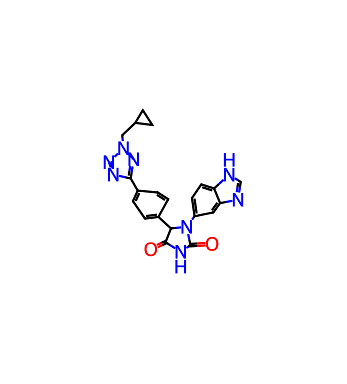 O=C1NC(=O)N(c2ccc3[nH]cnc3c2)C1c1ccc(-c2nnn(CC3CC3)n2)cc1